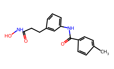 Cc1ccc(C(=O)Nc2cccc(CCC(=O)NO)c2)cc1